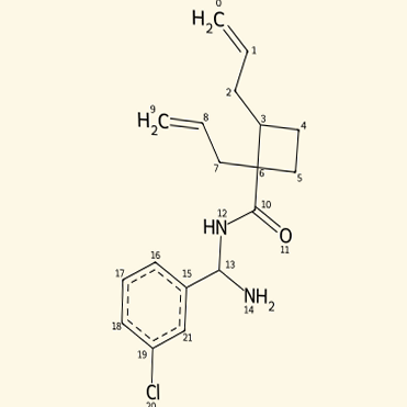 C=CCC1CCC1(CC=C)C(=O)NC(N)c1cccc(Cl)c1